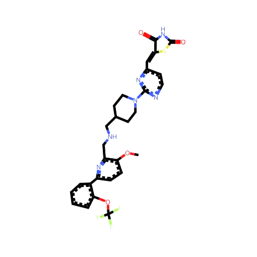 COc1ccc(-c2ccccc2OC(F)(F)F)nc1CNCC1CCN(c2nccc(/C=C3\SC(=O)NC3=O)n2)CC1